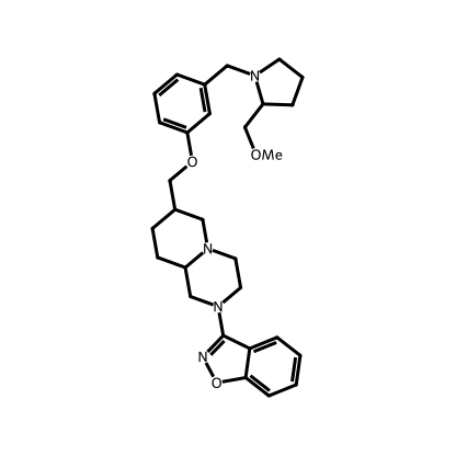 COCC1CCCN1Cc1cccc(OCC2CCC3CN(c4noc5ccccc45)CCN3C2)c1